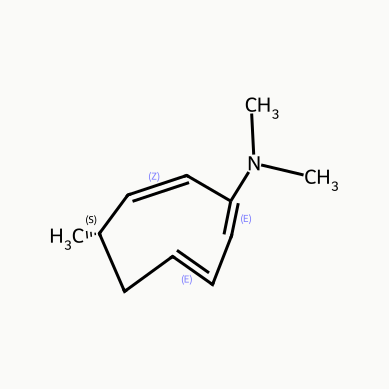 C[C@@H]1\C=C/C(N(C)C)=C\C=C\C1